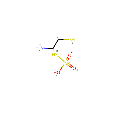 NCCS.O=S(=O)(O)S